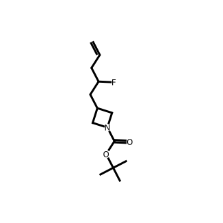 C=CCC(F)CC1CN(C(=O)OC(C)(C)C)C1